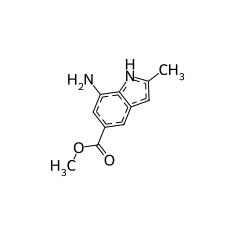 COC(=O)c1cc(N)c2[nH]c(C)cc2c1